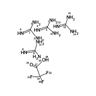 N=C(N)N.N=C(N)N.N=C(N)N.N=C(N)N.O=C(O)C(F)(F)F